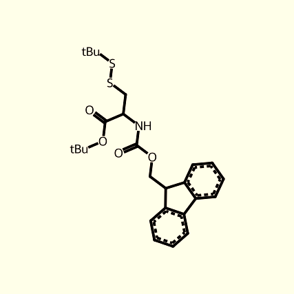 CC(C)(C)OC(=O)C(CSSC(C)(C)C)NC(=O)OCC1c2ccccc2-c2ccccc21